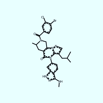 CNc1n[nH]c2cc(-n3c(=O)c4c(n5ncc(CC(C)C)c35)CN(C(=O)c3ccc(Br)c(Cl)c3)C(C)C4)ccc12